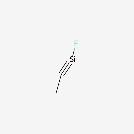 CC#[Si]F